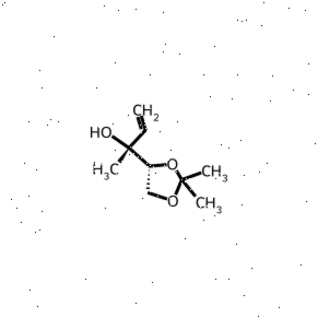 C=C[C@@](C)(O)[C@H]1COC(C)(C)O1